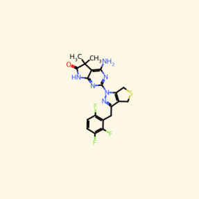 CC1(C)C(=O)Nc2nc(-n3nc(Cc4c(F)ccc(F)c4F)c4c3CSC4)nc(N)c21